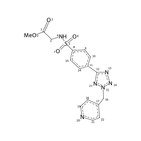 COC(=O)CNS(=O)(=O)c1ccc(-c2nnn(Cc3ccncc3)n2)cc1